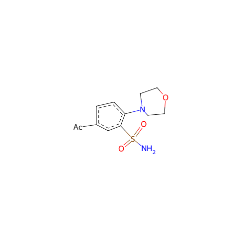 CC(=O)c1ccc(N2CCOCC2)c(S(N)(=O)=O)c1